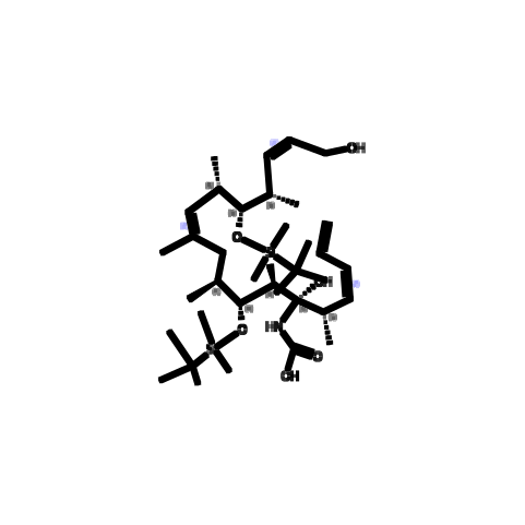 C=C/C=C\[C@H](C)[C@@](O)(NC(=O)O)[C@H](C)[C@H](O[Si](C)(C)C(C)(C)C)[C@@H](C)C/C(C)=C\[C@H](C)[C@@H](O[Si](C)(C)C(C)(C)C)[C@@H](C)/C=C\CO